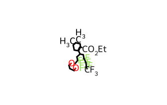 CCOC(=O)C1=C(C(CCC2OCCCO2)CC(F)(F)C(F)(F)C(F)(F)C(F)(F)F)CCC(C)(C)C1